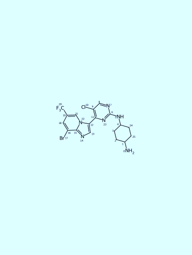 NC1CCC(Nc2ncc(Cl)c(-c3cnc4c(Br)cc(C(F)(F)F)cn34)n2)CC1